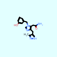 Cc1n[nH]cc1Cc1ncn(Cc2cccc(O)c2)c1CC(N)=O